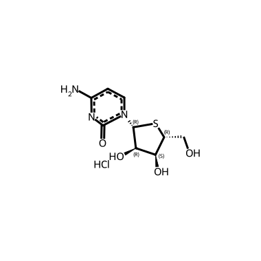 Cl.Nc1ccn([C@@H]2S[C@H](CO)[C@@H](O)[C@H]2O)c(=O)n1